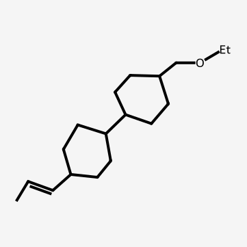 CC=CC1CCC(C2CCC(COCC)CC2)CC1